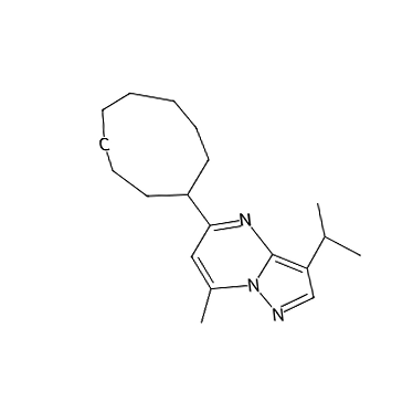 Cc1cc(C2CCCCCCCC2)nc2c(C(C)C)cnn12